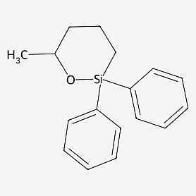 CC1CCC[Si](c2ccccc2)(c2ccccc2)O1